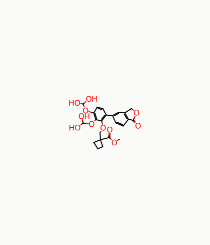 COC(=O)C1(COc2c(-c3ccc4c(c3)COC4=O)ccc(OC(O)O)c2OC(O)O)CCC1